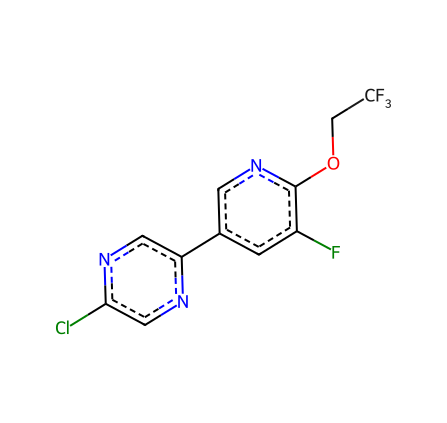 Fc1cc(-c2cnc(Cl)cn2)cnc1OCC(F)(F)F